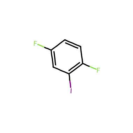 Fc1ccc(F)c(I)c1